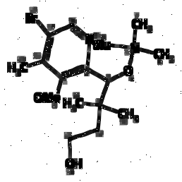 COc1c(C(O[Si](C)(C)C(C)(C)C)C(C)(C)CCO)ncc(Br)c1C